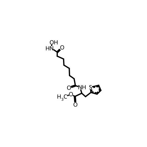 COC(=O)C(Cc1cccs1)NC(=O)CCCCCCC(=O)NO